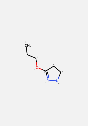 CCCOC1=N[N]CC1